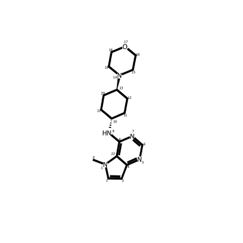 Cn1ccc2ncnc(N[C@H]3CC[C@H](N4CCOCC4)CC3)c21